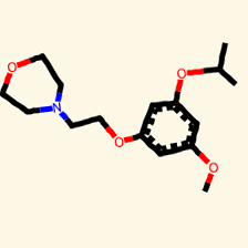 COc1cc(OCCN2CCOCC2)cc(OC(C)C)c1